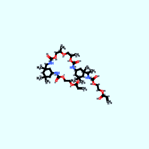 C=CC(=O)OCCOC(=O)NC1CC(C)(C)CC(C)(CNC(=O)OCC(C)OCC(C)OC(=O)NC2CC(C)(C)CC(C)(C(C)NC(=O)OCCOC(=O)C=C)C2)C1